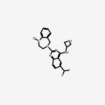 [O-][S+]1CCN(c2nc(NC3CNC3)c3cc(C(F)F)ccc3n2)Cc2ccccc21